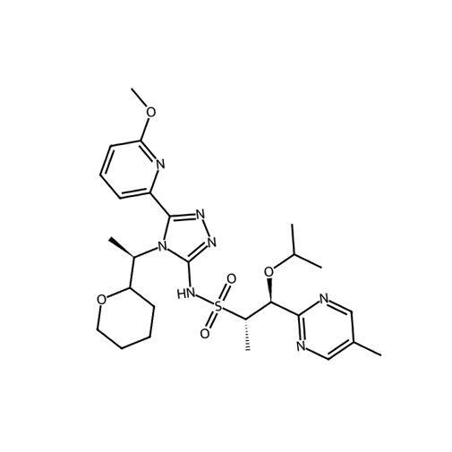 COc1cccc(-c2nnc(NS(=O)(=O)[C@@H](C)[C@@H](OC(C)C)c3ncc(C)cn3)n2[C@H](C)C2CCCCO2)n1